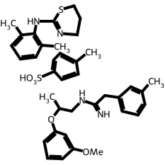 COc1cccc(OC(C)CNC(=N)Cc2cccc(C)c2)c1.Cc1ccc(S(=O)(=O)O)cc1.Cc1cccc(C)c1NC1=NCCCS1